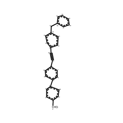 O=[C]c1ccc(-c2ccc(C#Cc3ccc(Cc4ccccc4)cc3)cc2)cc1